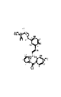 Cc1ccc(C(=O)c2cccn2C/C=C/c2cccc(CO[C@@H](C)C(=O)O)c2)cc1